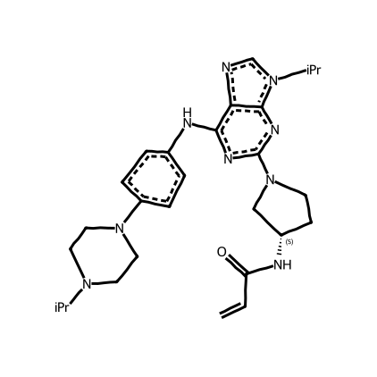 C=CC(=O)N[C@H]1CCN(c2nc(Nc3ccc(N4CCN(C(C)C)CC4)cc3)c3ncn(C(C)C)c3n2)C1